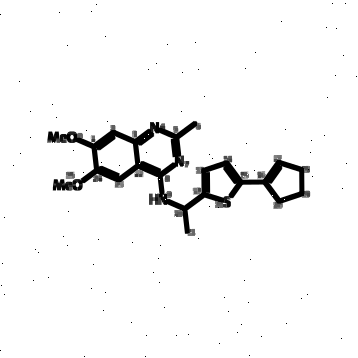 COc1cc2nc(C)nc(NC(C)c3ccc(C4=CCCC4)s3)c2cc1OC